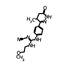 COCCNC(=NC#N)Nc1ccc(C2=NNC(=O)CC2C)cc1